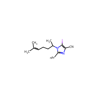 CCCc1nc(C#N)c(I)n1C(C)CCC=C(C)C